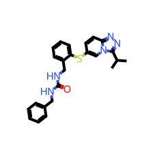 CC(C)c1nnc2ccc(Sc3ccccc3CNC(=O)NCc3ccccc3)cn12